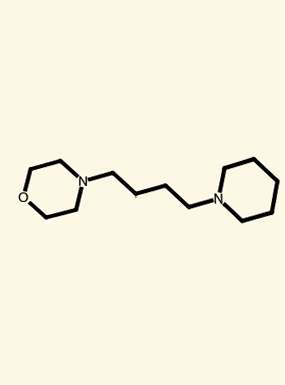 [CH](CCN1CCCCC1)CN1CCOCC1